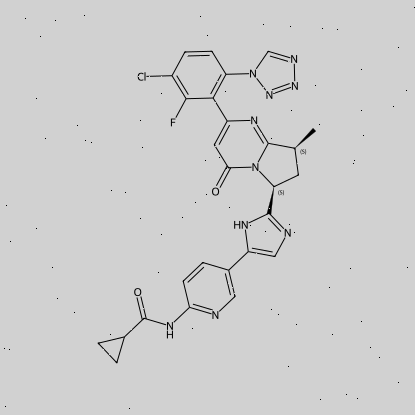 C[C@H]1C[C@@H](c2ncc(-c3ccc(NC(=O)C4CC4)nc3)[nH]2)n2c1nc(-c1c(-n3cnnn3)ccc(Cl)c1F)cc2=O